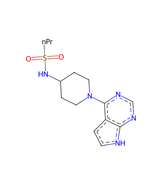 CCCS(=O)(=O)NC1CCN(c2ncnc3[nH]ccc23)CC1